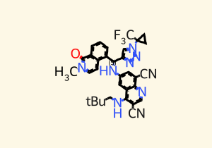 Cn1ccc2c([C@H](Nc3cc(C#N)c4ncc(C#N)c(NCC(C)(C)C)c4c3)c3cn(C4(C(F)(F)F)CC4)nn3)cccc2c1=O